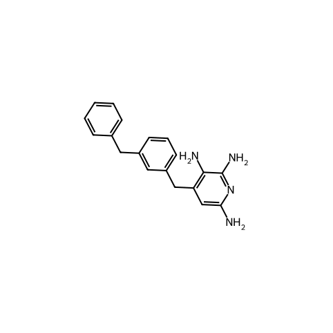 Nc1cc(Cc2cccc(Cc3ccccc3)c2)c(N)c(N)n1